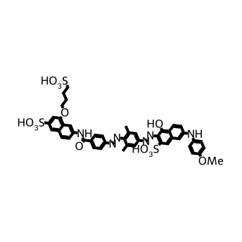 COc1ccc(Nc2ccc3c(O)c(N=Nc4cc(C)c(N=Nc5ccc(C(=O)Nc6ccc7cc(S(=O)(=O)O)cc(OCCCCS(=O)(=O)O)c7c6)cc5)c(C)c4)c(S(=O)(=O)O)cc3c2)cc1